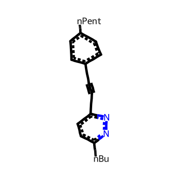 CCCCCc1ccc(C#Cc2ccc(CCCC)nn2)cc1